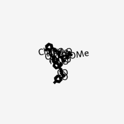 COC(=O)C(=O)Oc1c(C(=O)NCc2cccc(Cl)c2F)nc2n(c1=O)CC1(COS(=O)(=O)c3ccc(C)cc3)CCC2(N(C)C(=O)C(=O)OC)CC1